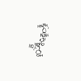 N=C(N)c1ccc2[nH]c(-c3ccc(C(=O)N[C@@H](Cc4ccc(O)cc4)C(=O)O)cn3)nc2c1